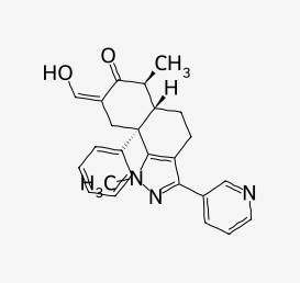 C[C@@H]1C(=O)/C(=C\O)C[C@]2(c3ccccc3)c3c(c(-c4cccnc4)nn3C)CC[C@@H]12